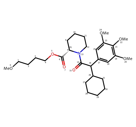 COCCCCOC(=O)[C@@H]1CCCCN1C(=O)C(c1cc(OC)c(OC)c(OC)c1)C1CCCCC1